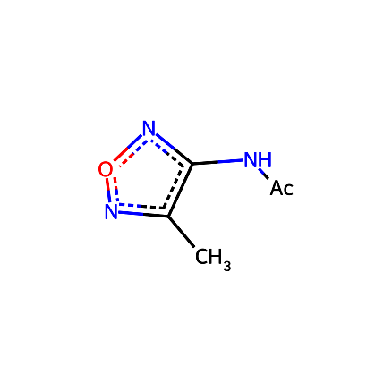 CC(=O)Nc1nonc1C